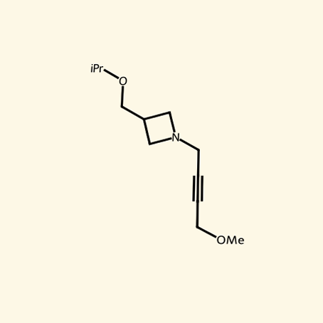 COCC#CCN1CC(COC(C)C)C1